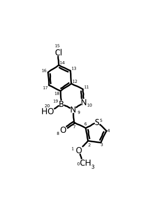 COc1ccsc1C(=O)N1N=Cc2cc(Cl)ccc2B1O